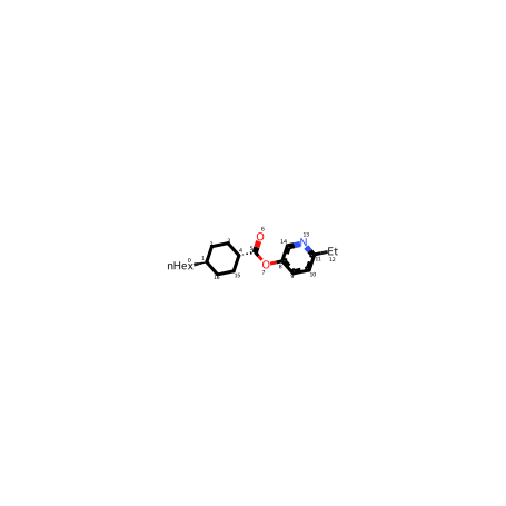 CCCCCC[C@H]1CC[C@H](C(=O)Oc2ccc(CC)nc2)CC1